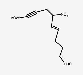 CCCCCCCCC#CCC(C=CCCCC=O)[N+](=O)[O-]